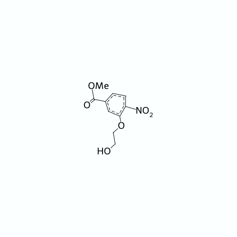 COC(=O)c1ccc([N+](=O)[O-])c(OCCO)c1